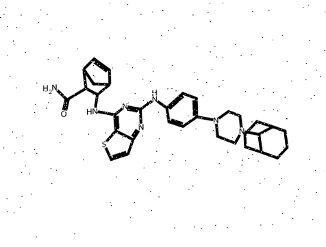 NC(=O)C1C2C=CC(C2)C1Nc1nc(Nc2ccc(N3CCN(C4C5CCCC4CCC5)CC3)cc2)nc2ccsc12